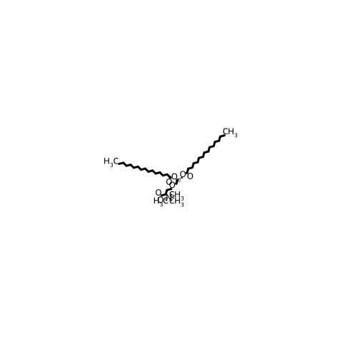 CCCCCCCCCCCCCCCC(=O)OC[C@H](COCCC(C(=O)[O-])[N+](C)(C)C)OC(=O)CCCCCCCCCCCCCCC